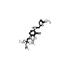 CC1=CCC(CNc2ccc3c(nnn3CC(C)(C)C)c2Br)S1